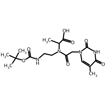 Cc1cn(CC(=O)N(CCNC(=O)OC(C)(C)C)C(C)C(=O)O)c(=O)[nH]c1=O